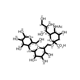 CC(=O)NC1C(O)CC(OCC2OC(OC3C(CO)OC(O)C(O)C3O)C(O)C(O)C2O)(C(=O)O)OC1[C@H](O)[C@H](O)CO